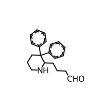 O=CCCCC1NCCCC1(c1ccccc1)c1ccccc1